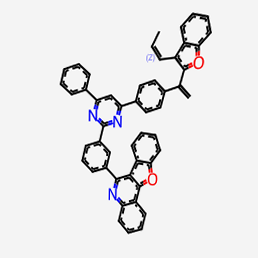 C=C(c1ccc(-c2cc(-c3ccccc3)nc(-c3cccc(-c4nc5ccccc5c5oc6ccccc6c45)c3)n2)cc1)c1oc2ccccc2c1/C=C\C